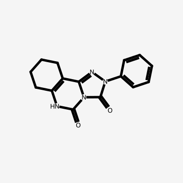 O=c1[nH]c2c(c3nn(-c4ccccc4)c(=O)n13)CCCC2